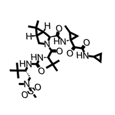 CC1C[C@@]1(NC(=O)[C@@H]1[C@@H]2[C@H](CN1C(=O)[C@@H](NC(=O)N[C@H](CN(C)S(C)(=O)=O)C(C)(C)C)C(C)(C)C)C2(C)C)C(=O)C(=O)NC1CC1